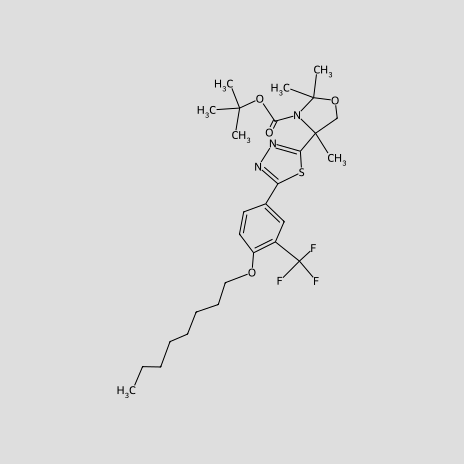 CCCCCCCCOc1ccc(-c2nnc(C3(C)COC(C)(C)N3C(=O)OC(C)(C)C)s2)cc1C(F)(F)F